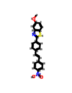 COc1ccc2sc(-c3ccc(/C=C/c4ccc([N+](=O)[O-])cc4)cc3)nc2c1